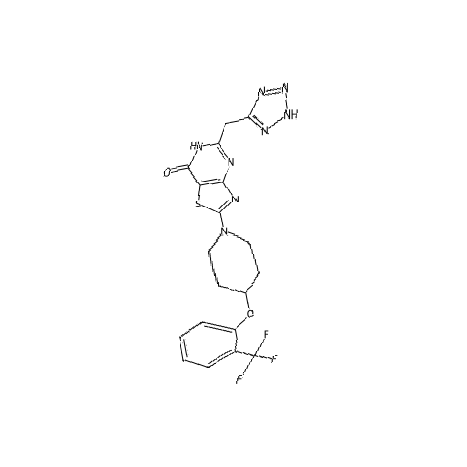 O=c1[nH]c(Cc2nn[nH]n2)nc2nc(N3CCC(Oc4ccccc4C(F)(F)F)CC3)sc12